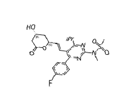 CC(C)c1nc(N(C)S(C)(=O)=O)nc(-c2ccc(F)cc2)c1C=C[C@@H]1C[C@@H](O)CC(=O)O1